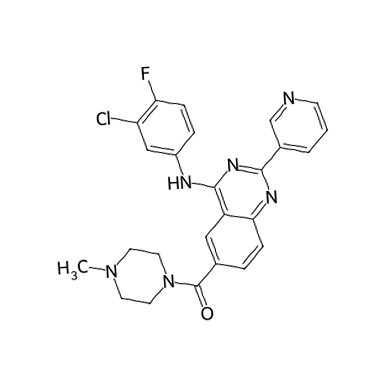 CN1CCN(C(=O)c2ccc3nc(-c4cccnc4)nc(Nc4ccc(F)c(Cl)c4)c3c2)CC1